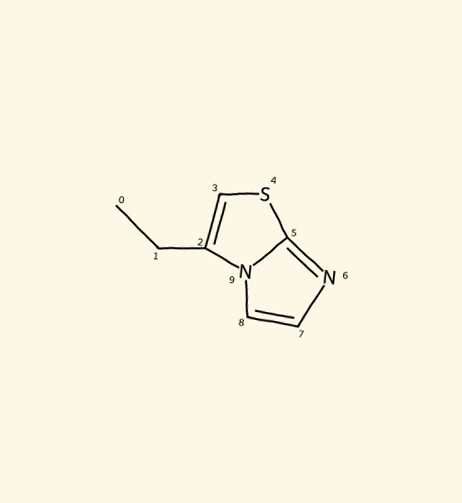 CCc1csc2nccn12